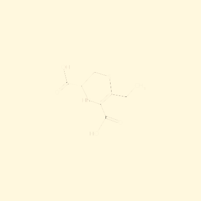 CCC1=C(C(=O)O)N[C@H](C(=O)O)CS1